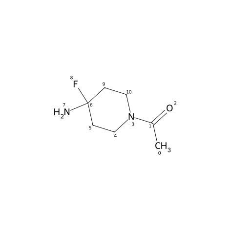 CC(=O)N1CCC(N)(F)CC1